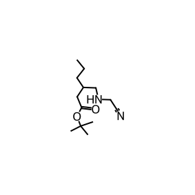 CCCC(CNCC#N)CC(=O)OC(C)(C)C